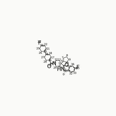 C[C@H](NC(=O)C1(C2CCCC2)CCN(C(=O)C2=CC=C(C3=CC=C(F)CC3)CC2)CC1)c1ccc(F)cc1